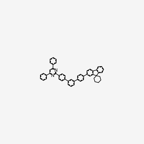 c1ccc(-c2cc(-c3ccccc3)nc(-c3ccc(-c4cccc(-c5ccc(-c6ccc7c(c6)C6(CCCCC6)c6ccccc6-7)cc5)c4)cc3)n2)cc1